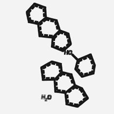 O.Oc1ccccc1.c1ccc2cc3ccccc3cc2c1.c1ccc2cc3ccccc3cc2c1